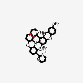 CCCc1ccc2c(c1)Nc1c(cc(CCC)c(N3c4ccccc4Oc4ccc(-c5ncccn5)c(C)c43)c1-c1ncccn1)O2